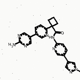 Cn1cc(-c2ccc(NC(=O)C3(c4ccc(-c5cnc(N)nc5)cn4)CCC3)nc2)cn1